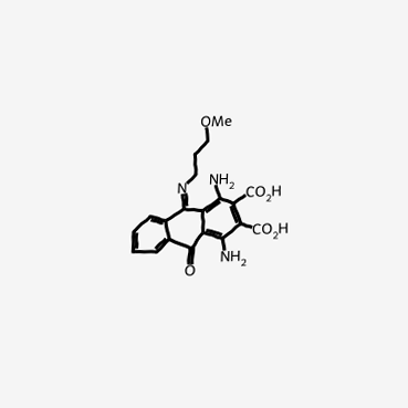 COCCCN=C1c2ccccc2C(=O)c2c(N)c(C(=O)O)c(C(=O)O)c(N)c21